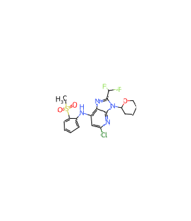 CS(=O)(=O)c1ccccc1Nc1cc(Cl)nc2c1nc(C(F)F)n2C1CCCCO1